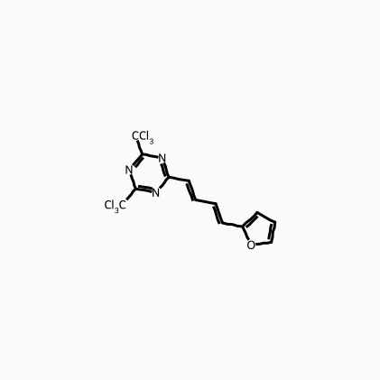 ClC(Cl)(Cl)c1nc(C=CC=Cc2ccco2)nc(C(Cl)(Cl)Cl)n1